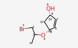 CC(CBr)O[C@H]1C=C[C@@H](O)C1